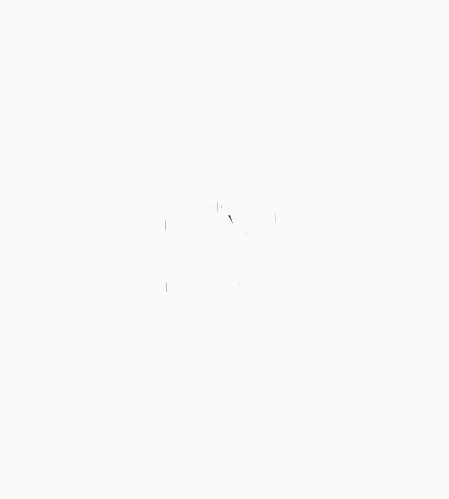 C=C1[C@@H](C)CC[C@]1(C)C=O